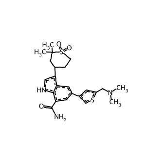 CN(C)Cc1cc(-c2cc(C(N)=O)c3[nH]cc(C4CCS(=O)(=O)C(C)(C)C4)c3c2)cs1